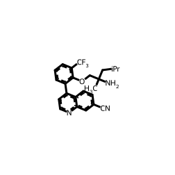 CC(C)CC(C)(N)COc1c(-c2ccnc3cc(C#N)ccc23)cccc1C(F)(F)F